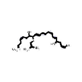 CC/C=C\CC(O)/C=C/C=C\C=C\C=C\C(SCC(N)C(=O)O)C(O)C/C=C\CCC(=O)O